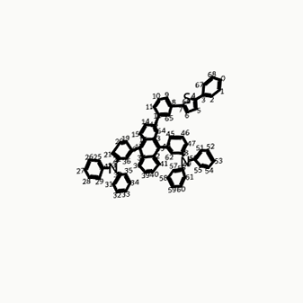 c1ccc(-c2ccc(-c3cccc(-c4ccc5c(-c6cccc(N(c7ccccc7)c7ccccc7)c6)c6ccccc6c(-c6cccc(N(c7ccccc7)c7ccccc7)c6)c5c4)c3)s2)cc1